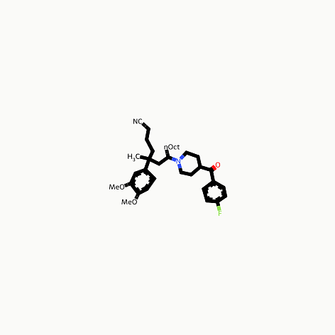 CCCCCCCCC(CC(C)(CCCC#N)c1ccc(OC)c(OC)c1)N1CCC(C(=O)c2ccc(F)cc2)CC1